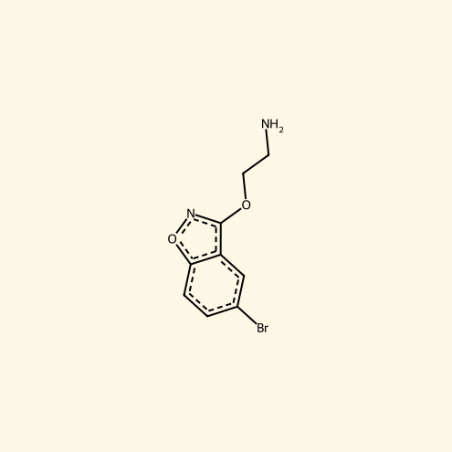 NCCOc1noc2ccc(Br)cc12